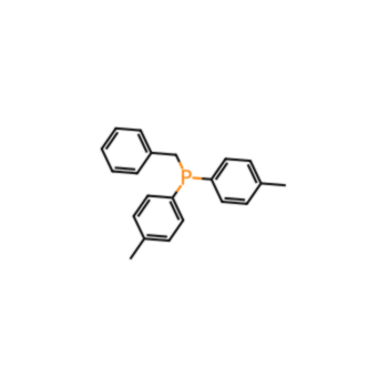 Cc1ccc(P(Cc2ccccc2)c2ccc(C)cc2)cc1